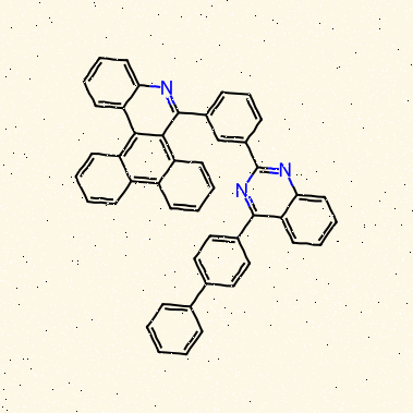 c1ccc(-c2ccc(-c3nc(-c4cccc(-c5nc6ccccc6c6c7ccccc7c7ccccc7c56)c4)nc4ccccc34)cc2)cc1